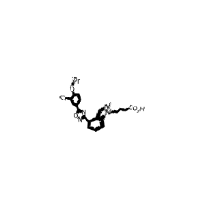 CC(C)Oc1ccc(-c2nc(-c3cccc4c3cnn4CCCC(=O)O)no2)cc1Cl